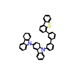 C1=Cc2c(c3ccccc3n2C2=CCC3C(=C2)c2ccccc2N3c2cccc(-c3cccc(-c4cccc5c4sc4ccccc45)c3)c2)CC1